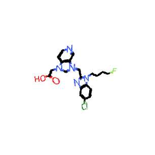 O=C(O)CN1CN(Cc2nc3cc(Cl)ccc3n2CCCCF)c2cnccc21